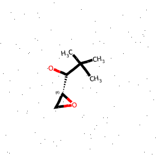 CC(C)(C)C([O])[C@H]1CO1